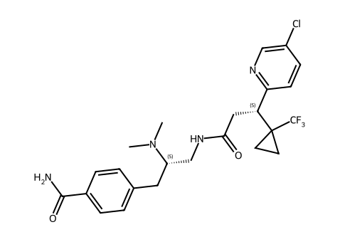 CN(C)[C@H](CNC(=O)C[C@H](c1ccc(Cl)cn1)C1(C(F)(F)F)CC1)Cc1ccc(C(N)=O)cc1